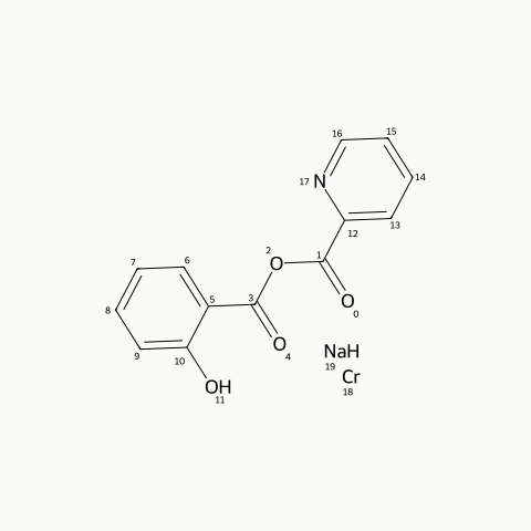 O=C(OC(=O)c1ccccc1O)c1ccccn1.[Cr].[NaH]